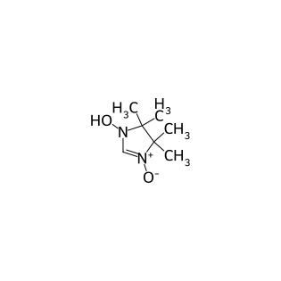 CC1(C)N(O)C=[N+]([O-])C1(C)C